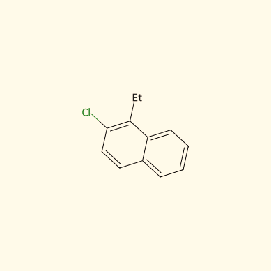 [CH2]Cc1c(Cl)ccc2ccccc12